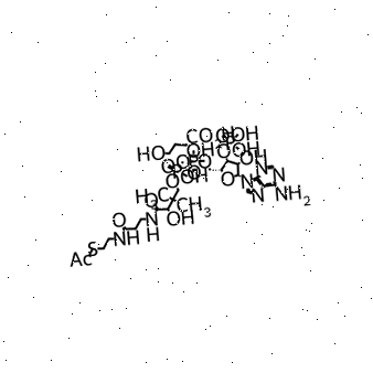 CC(=O)SCCNC(=O)CCNC(=O)[C@H](O)C(C)(C)COP(=O)(O)OP(=O)(O)OC[C@H]1O[C@@H](n2cnc3c(N)ncnc32)[C@H](O)[C@@H]1OP(=O)(O)O.O=C(O)CCCO